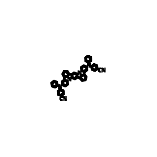 N#Cc1ccc(N(c2ccccc2)c2ccc3c(c2)c2cccc4c5cc6c(cc5n3c24)c2cccc3c4cc(N(c5ccccc5)c5ccc(C#N)cc5)ccc4n6c32)cc1